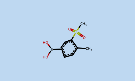 Cc1ccc(B(O)O)cc1S(C)(=O)=O